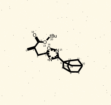 C=C(Cc1nc(C23CC4CC(CC2C4)C3)no1)C(=O)OC(C)(C)C